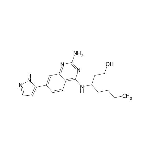 CCCCC(CCO)Nc1nc(N)nc2cc(-c3ccn[nH]3)ccc12